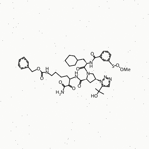 COOSc1cccc(C(=O)N[C@H](CC2CCCCC2)C(=O)N2C[C@@H](n3nncc3C(C)(C)O)C[C@H]2C(=O)NC(CCCCNC(=O)OCc2ccccc2)C(=O)C(N)=O)c1